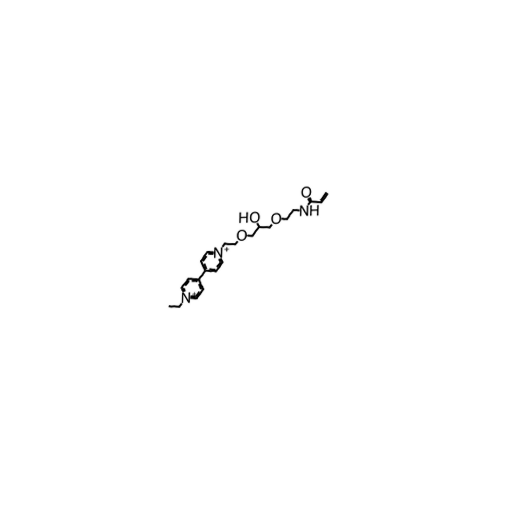 C=CC(=O)NCCOCC(O)COCC[n+]1ccc(-c2cc[n+](CC)cc2)cc1